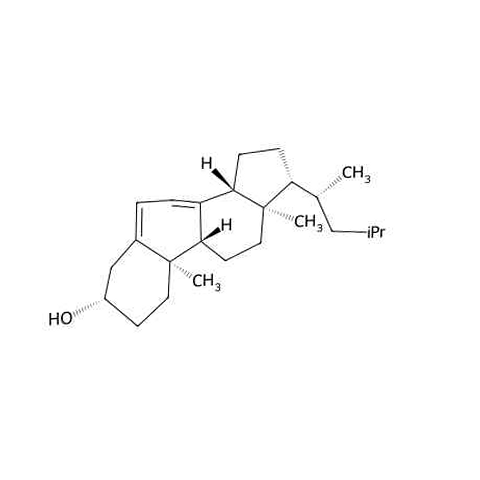 CC(C)C[C@@H](C)[C@H]1CC[C@H]2C3=CC=C4C[C@@H](O)CC[C@]4(C)[C@H]3CC[C@]12C